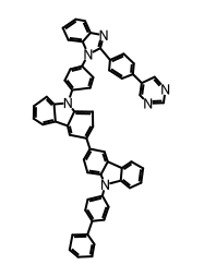 c1ccc(-c2ccc(-n3c4ccccc4c4cc(-c5ccc6c(c5)c5ccccc5n6-c5ccc(-n6c(-c7ccc(-c8cncnc8)cc7)nc7ccccc76)cc5)ccc43)cc2)cc1